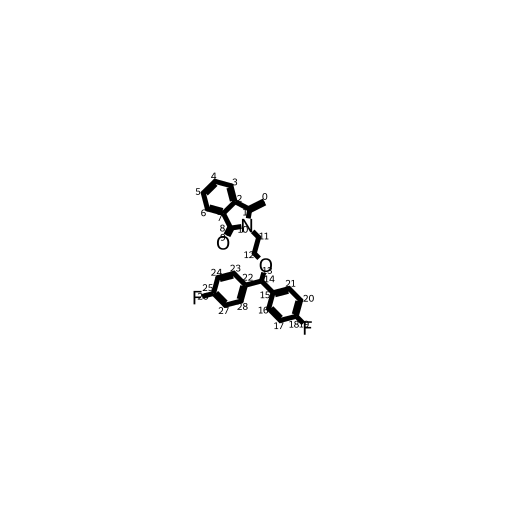 C=C1c2ccccc2C(=O)N1CCOC(c1ccc(F)cc1)c1ccc(F)cc1